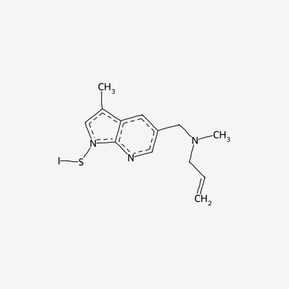 C=CCN(C)Cc1cnc2c(c1)c(C)cn2SI